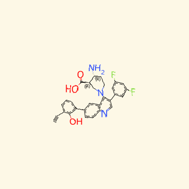 C#Cc1cccc(-c2ccc3ncc(-c4cc(F)cc(F)c4)c(N4CC[C@@H](N)[C@H](C(=O)O)C4)c3c2)c1O